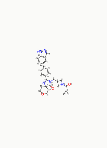 O=C(C1CC1)N1CC(CN2C(=O)C3(CCOCC3)N=C2c2ccc(-c3ccc4[nH]ncc4c3)cc2)C1